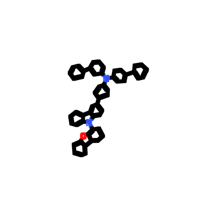 c1ccc(-c2ccc(N(c3ccc(-c4ccc5c(c4)c4ccccc4n5-c4cccc5c4oc4ccccc45)cc3)c3cccc(-c4ccccc4)c3)cc2)cc1